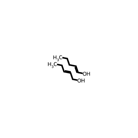 CCC=CCO.CCCC=CO